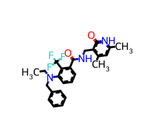 CCN(Cc1ccccc1)c1cccc(C(=O)NCc2c(C)cc(C)[nH]c2=O)c1C(F)(F)F